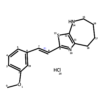 COc1cccc(/C=C/c2nc3c(s2)NCCCC3)c1.Cl